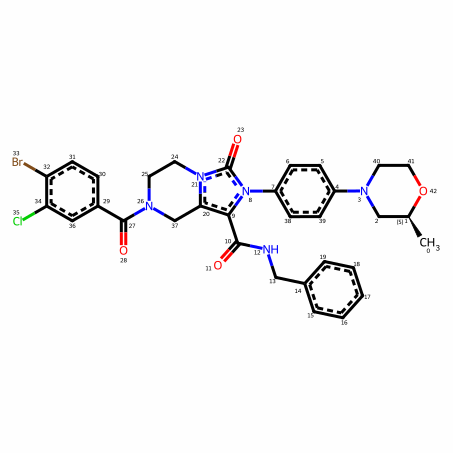 C[C@H]1CN(c2ccc(-n3c(C(=O)NCc4ccccc4)c4n(c3=O)CCN(C(=O)c3ccc(Br)c(Cl)c3)C4)cc2)CCO1